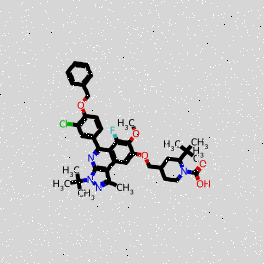 COc1c(OCC2CCN(C(=O)O)C(C(C)(C)C)C2)cc2c(c(-c3ccc(OCc4ccccc4)c(Cl)c3)nc3c2c(C)nn3C(C)(C)C)c1F